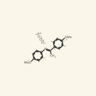 COc1ccc(/N=C(\C)c2ccc(OC)cc2)cc1.[Cl-].[Cl-].[Cl-].[Ir+3]